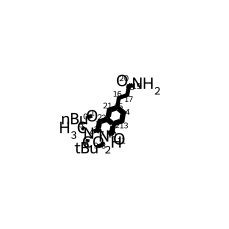 CCCCOc1c(N(C)C(=O)O)n(CC(C)(C)C)c(=O)c2ccc(CCC(N)=O)cc12